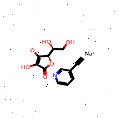 C#Cc1cccnc1.O=C1O[C@H]([C@@H](O)CO)C([O-])=C1O.[Na+]